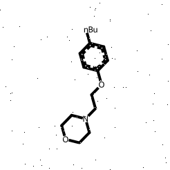 CCCCc1ccc(OCCN2CCOCC2)cc1